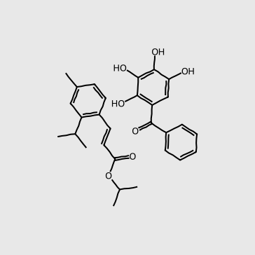 Cc1ccc(C=CC(=O)OC(C)C)c(C(C)C)c1.O=C(c1ccccc1)c1cc(O)c(O)c(O)c1O